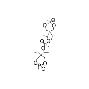 CCC1(C(C)OP(C)(=O)OC(C)C2(CC)COP(C)(=O)OC2)COP(C)(=O)OC1